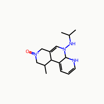 CC(C)NN1C=C2C[N+](=O)CC(C)C2C2=CC=CNC21